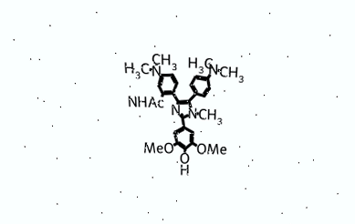 COc1cc(-c2nc(-c3ccc(N(C)C)cc3NC(C)=O)c(-c3ccc(N(C)C)cc3)n2C)cc(OC)c1O